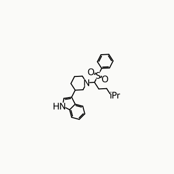 CC(C)CCC(N1CCCC(c2c[nH]c3ccccc23)C1)S(=O)(=O)c1ccccc1